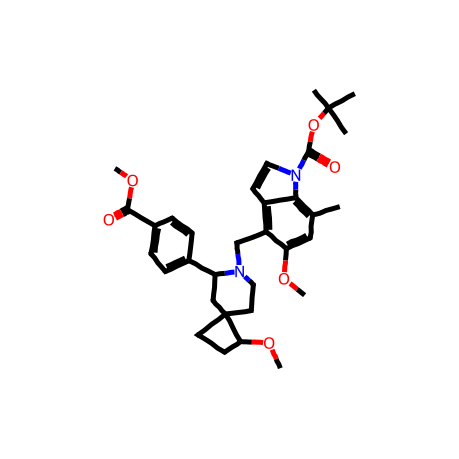 COC(=O)c1ccc(C2CC3(CCC3OC)CCN2Cc2c(OC)cc(C)c3c2ccn3C(=O)OC(C)(C)C)cc1